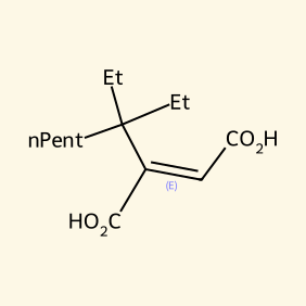 CCCCCC(CC)(CC)/C(=C\C(=O)O)C(=O)O